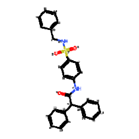 O=C(Nc1ccc(S(=O)(=O)NCc2ccccc2)cc1)C(c1ccccc1)c1ccccc1